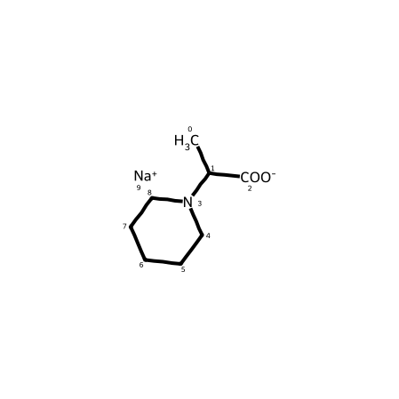 CC(C(=O)[O-])N1CCCCC1.[Na+]